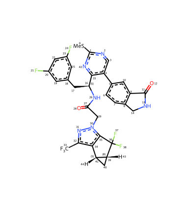 CSc1ncc(-c2ccc3c(c2)C(=O)NC3)c([C@H](Cc2cc(F)cc(F)c2)NC(=O)Cn2nc(C(F)(F)F)c3c2C(F)(F)[C@@H]2C[C@H]32)n1